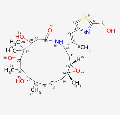 C/C(=C\c1csc(CO)n1)[C@@H]1C[C@@H]2O[C@]2(C)CCCC(C)[C@H](O)C(C)C(=O)C(C)(C)C(O)CC(=O)N1